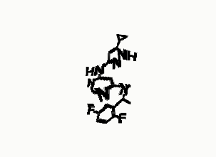 CC(c1cc(F)ccc1F)N(C)c1cc(Nc2cc(C3CC3)[nH]n2)ncn1